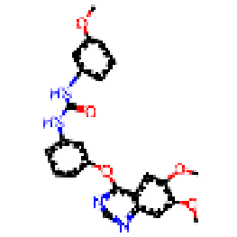 COc1cccc(NC(=O)Nc2cccc(Oc3ncnc4cc(OC)c(OC)cc34)c2)c1